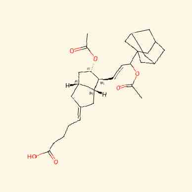 CC(=O)OC(C=C[C@H]1[C@@H]2CC(=CCCCC(=O)O)C[C@@H]2C[C@@H]1OC(C)=O)C12CC3CC(CC(C3)C1)C2